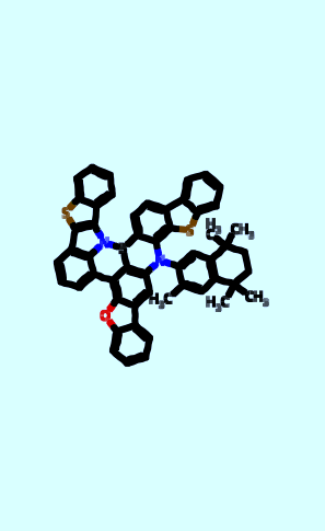 Cc1cc2c(cc1N1c3cc4c(oc5ccccc54)c4c3B(c3ccc5c(sc6ccccc65)c31)n1c3c-4cccc3c3sc4ccccc4c31)C(C)(C)CCC2(C)C